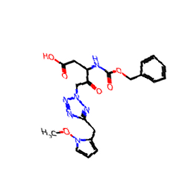 COn1cccc1Cc1nnn(CC(=O)C(CC(=O)O)NC(=O)OCc2ccccc2)n1